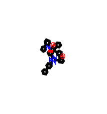 c1ccc(-c2ccc(-c3nc(-c4ccccc4)nc(-c4cccc5oc6ccc(-c7ccc(-n8c9ccccc9c9ccccc98)c8oc9ccccc9c78)cc6c45)n3)cc2)cc1